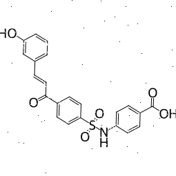 O=C(O)c1ccc(NS(=O)(=O)c2ccc(C(=O)/C=C/c3cccc(O)c3)cc2)cc1